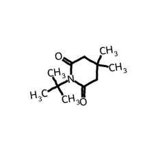 CC1(C)CC(=O)N(C(C)(C)C)C(=O)C1